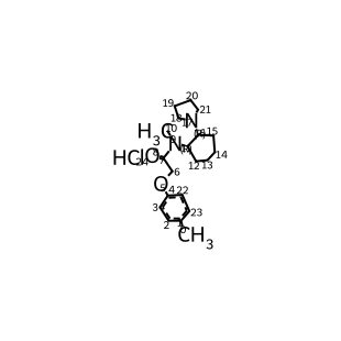 Cc1ccc(OCC(=O)N(C)[C@@H]2CCCC[C@H]2N2CCCC2)cc1.Cl